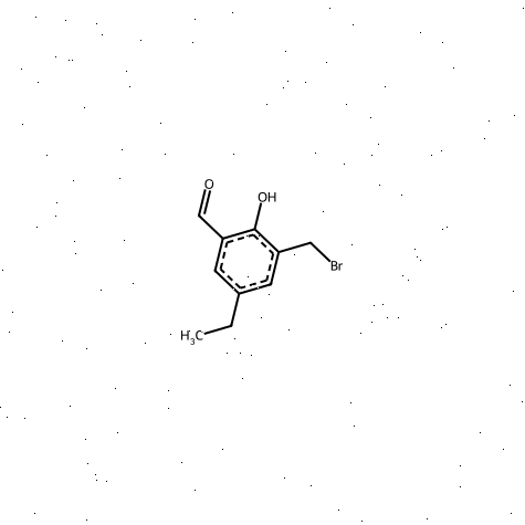 CCc1cc(C=O)c(O)c(CBr)c1